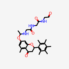 Cc1cc(OC(C)NCC(=O)NCC(=O)NCC=O)cc2c1C(=O)CC(c1c(C)c(C)c(C)c(C)c1C)O2